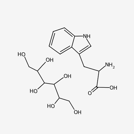 NC(Cc1c[nH]c2ccccc12)C(=O)O.OCC(O)C(O)C(O)C(O)CO